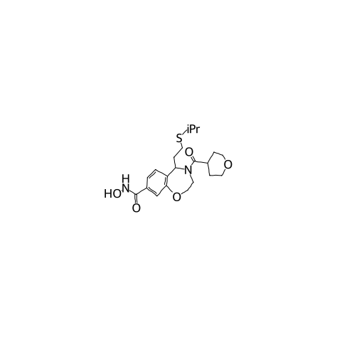 CC(C)SCCC1c2ccc(C(=O)NO)cc2OCCN1C(=O)C1CCOCC1